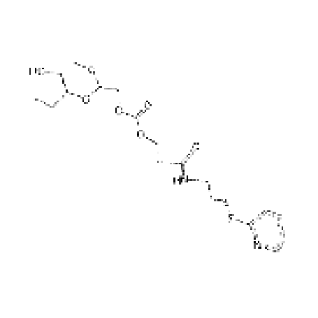 CCC(CO)OC(COC(=O)OCCC(=O)NCCSSc1ccccn1)OC